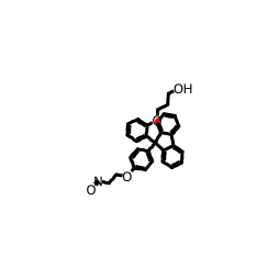 O=NCCOc1ccc(C2(c3ccccc3OCCCO)c3ccccc3-c3ccccc32)cc1